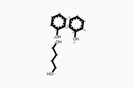 OCCCCO.Oc1ccccc1.Oc1ccccc1